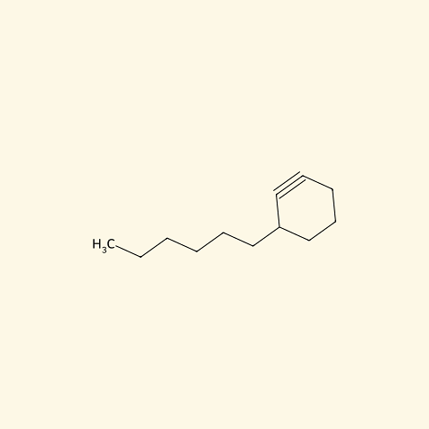 CCCCCCC1C#CCCC1